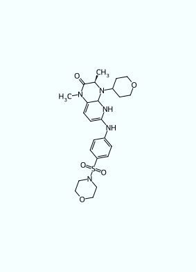 C[C@@H]1C(=O)N(C)C2=CC=C(Nc3ccc(S(=O)(=O)N4CCOCC4)cc3)NC2N1C1CCOCC1